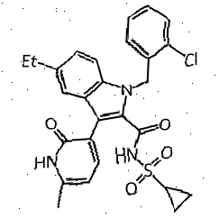 CCc1ccc2c(c1)c(-c1ccc(C)[nH]c1=O)c(C(=O)NS(=O)(=O)C1CC1)n2Cc1ccccc1Cl